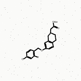 COC(=O)CC1CCc2ccc(OCc3ccc(Cl)cc3F)cc2C1